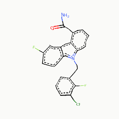 NC(=O)c1cccc2c1c1[c]c(F)ccc1n2Cc1cccc(Cl)c1F